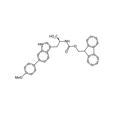 COc1ccc(-c2ccc3c(C[C@H](NC(=O)OCC4c5ccccc5-c5ccccc54)C(=O)O)c[nH]c3c2)cc1